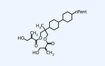 C=C(CO)C(=O)OCC(C)(COC(=O)C(=C)CO)C1CCC(C2CCC(CCCCC)CC2)CC1